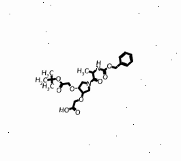 CC(NC(=O)OCc1ccccc1)C(=O)N1CC(OCC(=O)O)[C@H](OCC(=O)OC(C)(C)C)C1